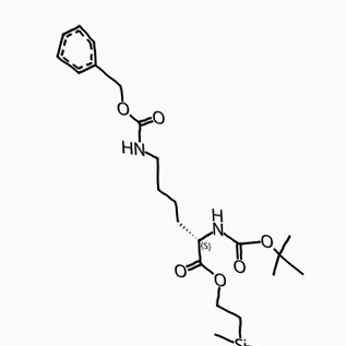 CC(C)(C)OC(=O)N[C@@H](CCCCNC(=O)OCc1ccccc1)C(=O)OCC[Si](C)(C)C